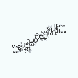 COC(=O)N[C@H](C(=O)N1[C@@H](C)CC[C@H]1c1nc(C)c(-c2ccc3c(c2)COc2cc4c(ccc5nc([C@@H]6CC[C@H](C)N6C(=O)[C@@H](NC(=O)OC)[C@@H](C)OC)[nH]c54)cc2-3)[nH]1)[C@@H](C)OC